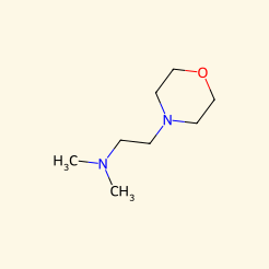 CN(C)CCN1CCOCC1